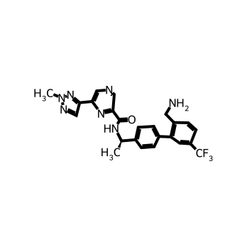 C[C@@H](NC(=O)c1cncc(-c2cnn(C)n2)n1)c1ccc(-c2cc(C(F)(F)F)ccc2CN)cc1